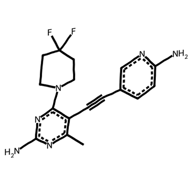 Cc1nc(N)nc(N2CCC(F)(F)CC2)c1C#Cc1ccc(N)nc1